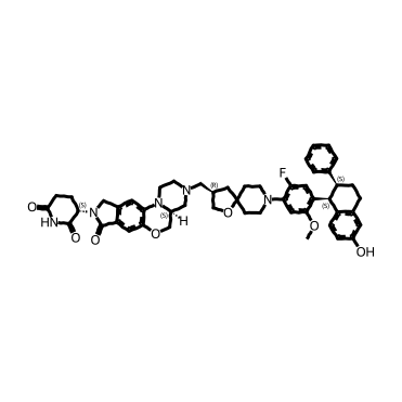 COc1cc(N2CCC3(CC2)C[C@H](CN2CCN4c5cc6c(cc5OC[C@@H]4C2)C(=O)N([C@H]2CCC(=O)NC2=O)C6)CO3)c(F)cc1[C@@H]1c2ccc(O)cc2CC[C@@H]1c1ccccc1